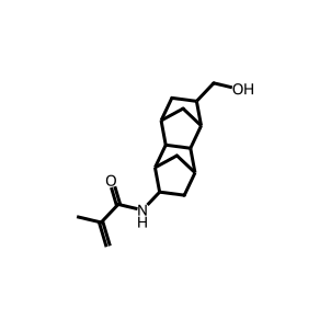 C=C(C)C(=O)NC1CC2CC1C1C3CC(CO)C(C3)C21